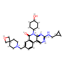 O=c1c2cc(CN3CCC4(CC3)COC4)ccc2c2cnc(NCC3CC3)nc2n1C1CCC(O)CC1